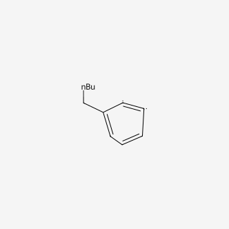 CCCCCc1[c][c]ccc1